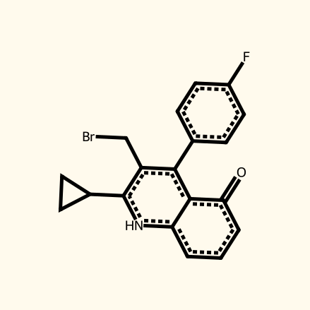 O=c1cccc2[nH]c(C3CC3)c(CBr)c(-c3ccc(F)cc3)c1-2